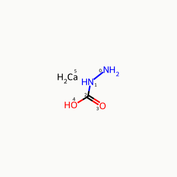 NNC(=O)O.[CaH2]